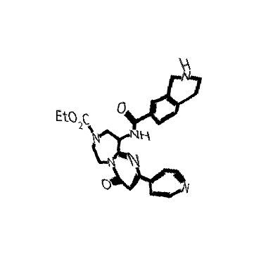 CCOC(=O)N1CCn2c(nc(-c3ccncc3)cc2=O)C(NC(=O)c2ccc3c(c2)CNCC3)C1